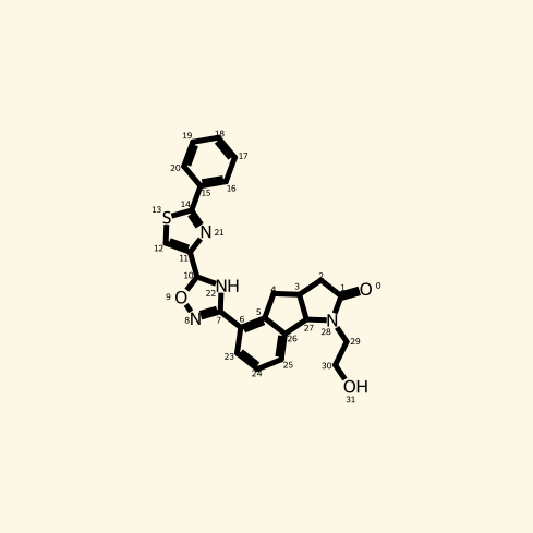 O=C1CC2Cc3c(C4=NOC(c5csc(-c6ccccc6)n5)N4)cccc3C2N1CCO